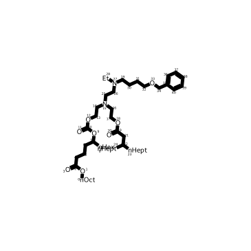 CCCCCCCCOC(=O)CCCC(CCCCCC)OC(=O)OCCN(CCOC(=O)CC(CCCCCCC)CCCCCCC)CCN(CC)CCCCOCc1ccccc1